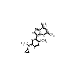 Cc1ccc(C(C2CC2)C(F)(F)F)cc1-c1cnc2c(N)nc(C(F)(F)F)cn12